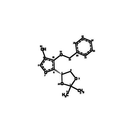 CC1(C)OC[C@@H](c2occ(O)c2OCc2ccccc2)O1